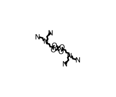 N#CCCN(CCC#N)CCCC1OCC2(CO1)COC(CCCN(CCC#N)CCC#N)OC2